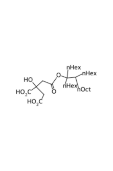 CCCCCCCCC(CCCCCC)C(CCCCCC)(CCCCCC)OC(=O)CC(O)(CC(=O)O)C(=O)O